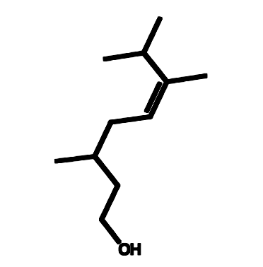 CC(=CCC(C)CCO)C(C)C